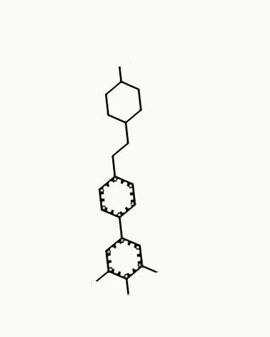 CCCCCCCCC1CCC(CCc2ccc(-c3cc(F)c(F)c(F)c3)cc2)CC1